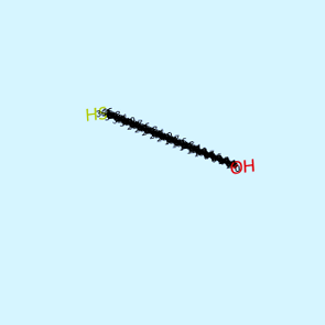 OCCCCCCCCCCCCCCCCCCCCCCCCCCCCCCCCCCCS